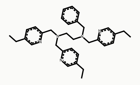 CCc1ccc(CN(CCN(Cc2ccc(CC)cn2)Cc2ccc(CC)cn2)Cc2ccccc2)nc1